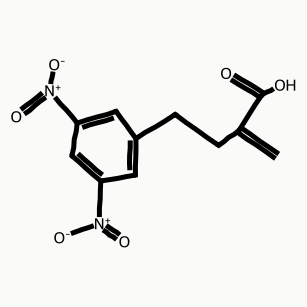 C=C(CCc1cc([N+](=O)[O-])cc([N+](=O)[O-])c1)C(=O)O